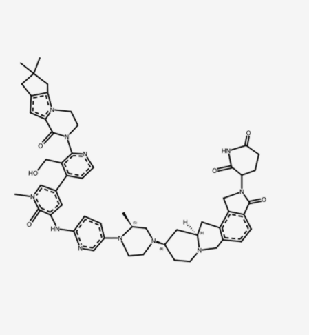 C[C@H]1CN([C@@H]2CCN3Cc4ccc5c(c4C[C@@H]3C2)CN(C2CCC(=O)NC2=O)C5=O)CCN1c1ccc(Nc2cc(-c3ccnc(N4CCn5c(cc6c5CC(C)(C)C6)C4=O)c3CO)cn(C)c2=O)nc1